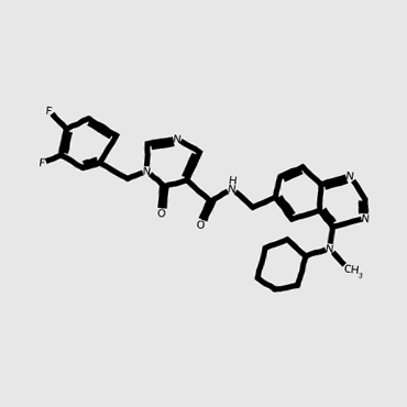 CN(c1ncnc2ccc(CNC(=O)c3cncn(Cc4ccc(F)c(F)c4)c3=O)cc12)C1CCCCC1